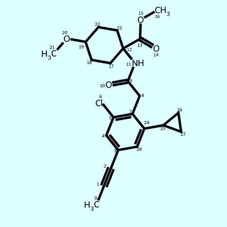 CC#Cc1cc(Cl)c(CC(=O)NC2(C(=O)OC)CCC(OC)CC2)c(C2CC2)c1